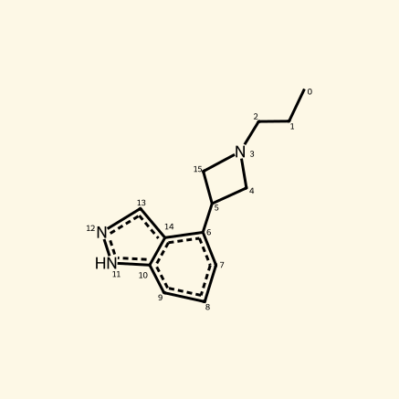 CCCN1CC(c2cccc3[nH]ncc23)C1